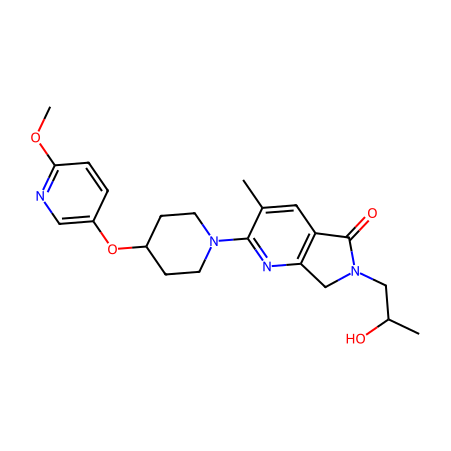 COc1ccc(OC2CCN(c3nc4c(cc3C)C(=O)N(CC(C)O)C4)CC2)cn1